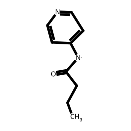 CCCC(=O)[N]c1ccncc1